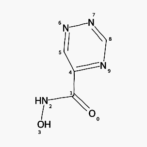 O=C(NO)c1cnncn1